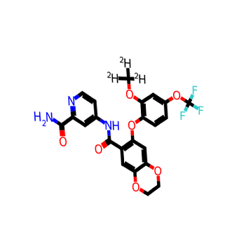 [2H]C([2H])([2H])Oc1cc(OC(F)(F)F)ccc1Oc1cc2c(cc1C(=O)Nc1ccnc(C(N)=O)c1)OCCO2